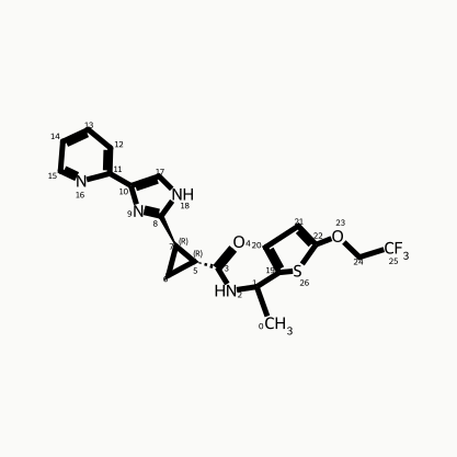 CC(NC(=O)[C@@H]1C[C@H]1c1nc(-c2ccccn2)c[nH]1)c1ccc(OCC(F)(F)F)s1